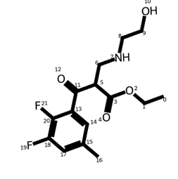 CCOC(=O)C(CNCCO)C(=O)c1cc(C)cc(F)c1F